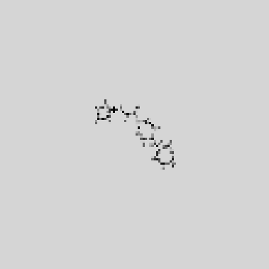 CC(=CCn1ccnc1)c1ccc(-c2ccccc2)cc1